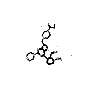 CCC(=O)N1CCN(Cc2csc3c(-c4cccc(N)c4C=N)nc(N4CCOCC4)nc23)CC1